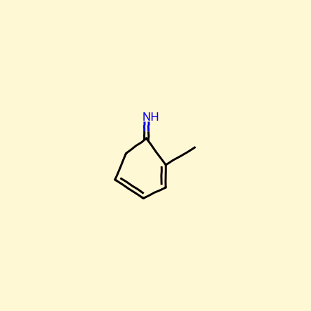 CC1=CC=CCC1=N